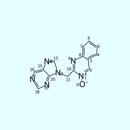 [O-][n+]1cc2ccccc2nc1Cn1cnc2cncnc21